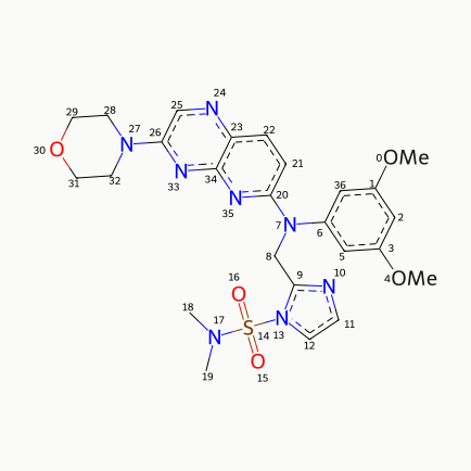 COc1cc(OC)cc(N(Cc2nccn2S(=O)(=O)N(C)C)c2ccc3ncc(N4CCOCC4)nc3n2)c1